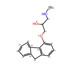 CC(C)(C)NCC(O)COc1cccc2c1-c1ccccc1C2